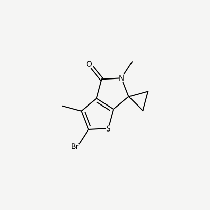 Cc1c(Br)sc2c1C(=O)N(C)C21CC1